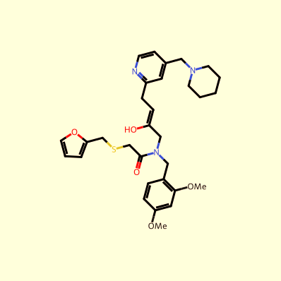 COc1ccc(CN(C/C(O)=C/Cc2cc(CN3CCCCC3)ccn2)C(=O)CSCc2ccco2)c(OC)c1